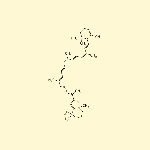 CC(C=CC=C(C)C=CC1C(C)=CCCC1(C)C)=CC=CC=C(C)C=CC=C(C)C1C=C2C(C)(C)CCCC2(C)O1